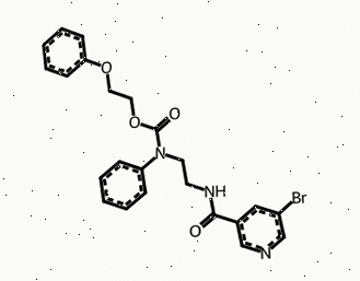 O=C(NCCN(C(=O)OCCOc1ccccc1)c1ccccc1)c1cncc(Br)c1